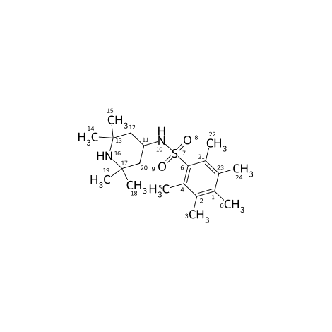 Cc1c(C)c(C)c(S(=O)(=O)NC2CC(C)(C)NC(C)(C)C2)c(C)c1C